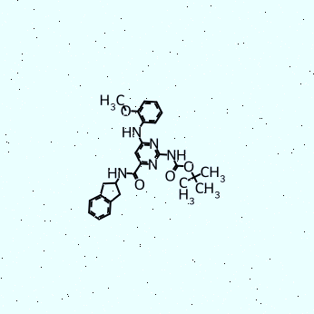 COc1ccccc1Nc1cc(C(=O)NC2Cc3ccccc3C2)nc(NC(=O)OC(C)(C)C)n1